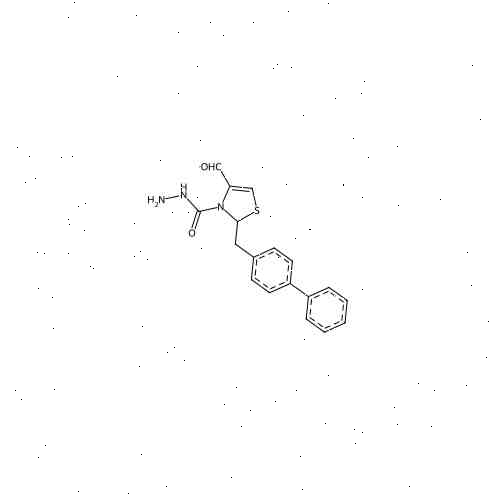 NNC(=O)N1C([C]=O)=CSC1Cc1ccc(-c2ccccc2)cc1